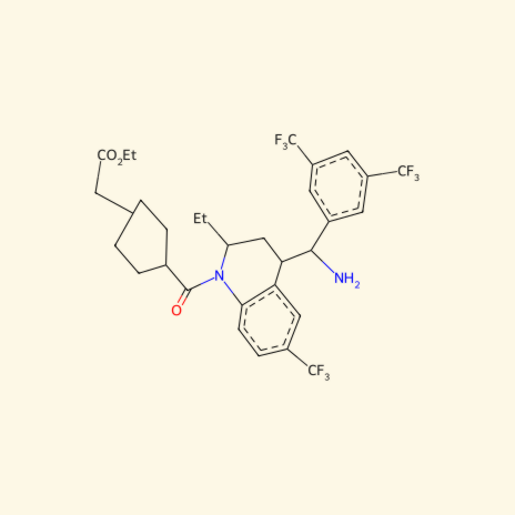 CCOC(=O)CC1CCC(C(=O)N2c3ccc(C(F)(F)F)cc3C(C(N)c3cc(C(F)(F)F)cc(C(F)(F)F)c3)CC2CC)CC1